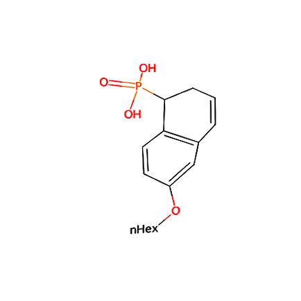 CCCCCCOc1ccc2c(c1)C=CCC2P(=O)(O)O